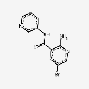 Nc1ncc(Br)cc1C(=O)Nc1cccnc1